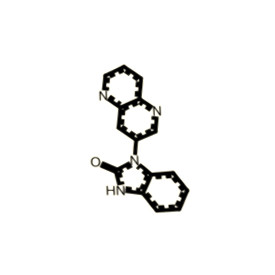 O=c1[nH]c2ccccc2n1-c1cnc2cccnc2c1